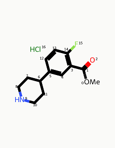 COC(=O)c1cc(C2CCNCC2)ccc1F.Cl